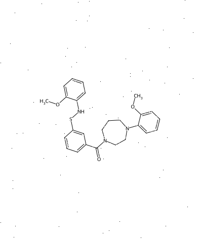 COc1ccccc1NSc1cccc(C(=O)N2CCCN(c3ccccc3OC)CC2)c1